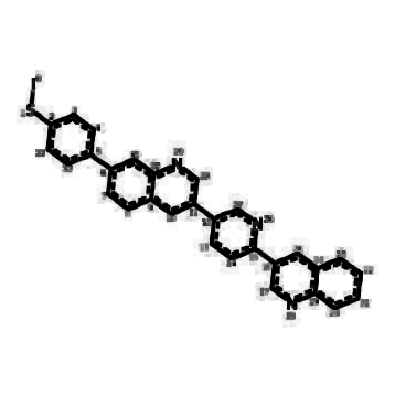 ISc1ccc(-c2ccc3cc(-c4ccc(-c5cnc6ccccc6c5)nc4)cnc3c2)cc1